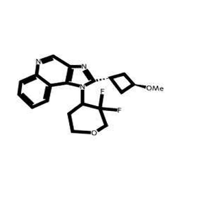 CO[C@H]1C[C@H](c2nc3cnc4ccccc4c3n2C2CCOCC2(F)F)C1